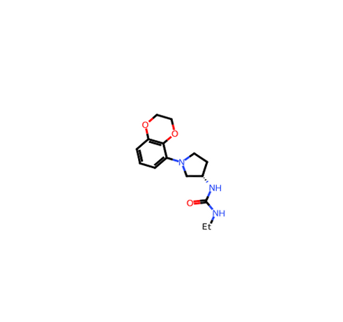 CCNC(=O)N[C@H]1CCN(c2cccc3c2OCCO3)C1